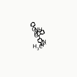 Cn1[c]nc2cc(C(=O)c3ccccc3C(=O)NOc3ccccc3)ccc21